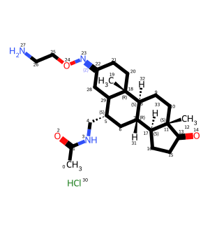 CC(=O)NC[C@H]1C[C@@H]2[C@H](CC[C@]3(C)C(=O)CC[C@@H]23)[C@@]2(C)CC/C(=N/OCCN)CC12.Cl